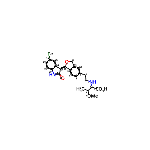 COC(C)C(NCCc1ccc2c(c1)COC2=C1C(=O)Nc2ccc(F)cc21)C(=O)O